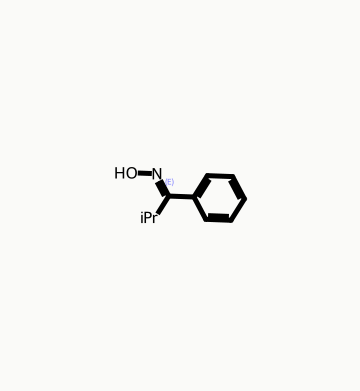 CC(C)/C(=N\O)c1ccccc1